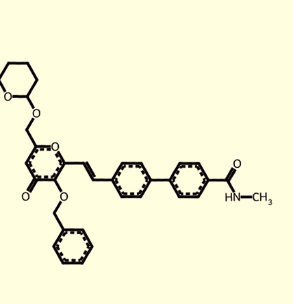 CNC(=O)c1ccc(-c2ccc(/C=C/c3oc(COC4CCCCO4)cc(=O)c3OCc3ccccc3)cc2)cc1